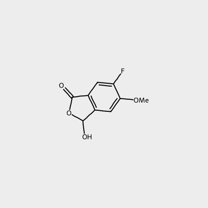 COc1cc2c(cc1F)C(=O)OC2O